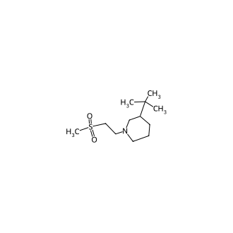 CC(C)(C)C1CCCN(CCS(C)(=O)=O)C1